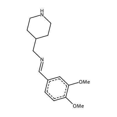 COc1ccc(C=NCC2CCNCC2)cc1OC